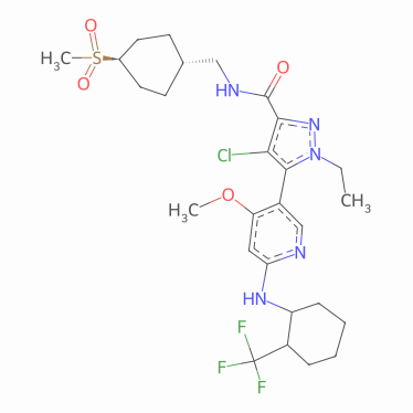 CCn1nc(C(=O)NC[C@H]2CC[C@H](S(C)(=O)=O)CC2)c(Cl)c1-c1cnc(NC2CCCCC2C(F)(F)F)cc1OC